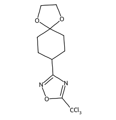 ClC(Cl)(Cl)c1nc(C2CCC3(CC2)OCCO3)no1